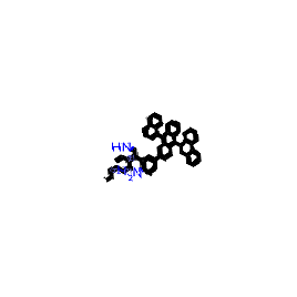 C=CC(/C=C\C=C/CC)=C(\C=N)c1cc(-c2ccc3c(C4Cc5ccccc5C5=C4CCC=C5)c4ccccc4c(-c4cccc5ccccc45)c3c2)ccc1N